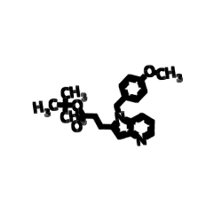 COc1ccc(Cn2c(CCC(=O)OC(C)(C)C)cc3ncccc32)cc1